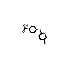 O=C(O)[C@H]1CC[C@H](Oc2ccc(F)cn2)CC1